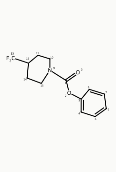 O=C(Oc1ccccc1)N1CCC(C(F)(F)F)CC1